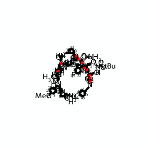 COc1ccc(C[C@@H]2NC(=O)[C@H]([C@@H](C)O)NC(=O)[C@@H]3[C@@H]4CCCN3C(=O)[C@@H]3Cc5cn(c6ccc(F)cc56)CCCCCCN(Cc5ccc(cc5)CCNC(=O)[C@]5(C)CCCN5C2=O)C(=O)CCC(=O)N[C@@H](CNC(=O)OC(C)(C)C)C(=O)N[C@H](CN)C(=O)N[C@@H](Cc2cccc(c2)CNC(=O)CO4)C(=O)N3)cc1